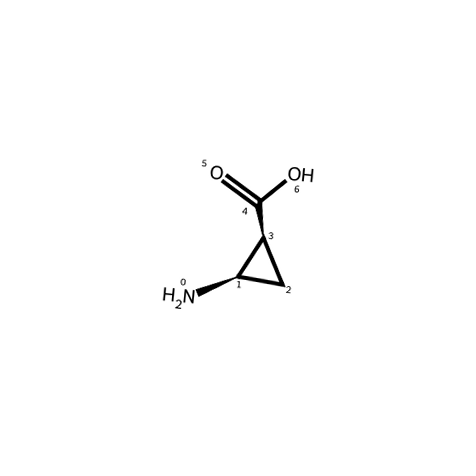 N[C@@H]1C[C@@H]1C(=O)O